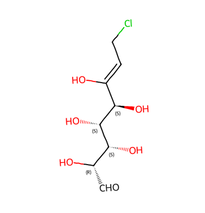 O=C[C@H](O)[C@@H](O)[C@H](O)[C@H](O)C(O)=CCCl